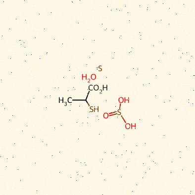 CC(S)C(=O)O.O.O=S(O)O.[S]